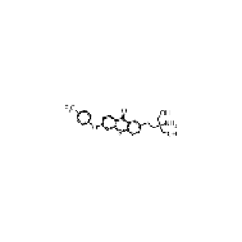 NC(CO)(CO)CCc1ccc2sc3cc(Oc4ccc(C(F)(F)F)cc4)ccc3c(=O)c2c1